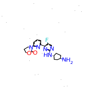 N[C@H]1CC[C@H](Nc2ncc(F)c(-c3cccc(N4CCCOC4=O)n3)n2)CC1